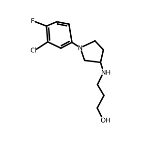 OCCCNC1CCN(c2ccc(F)c(Cl)c2)C1